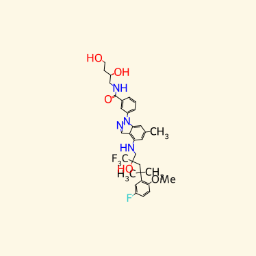 COc1ccc(F)cc1C(C)(C)CC(O)(CNc1cc(C)cc2c1cnn2-c1cccc(C(=O)NC[C@H](O)CCO)c1)C(F)(F)F